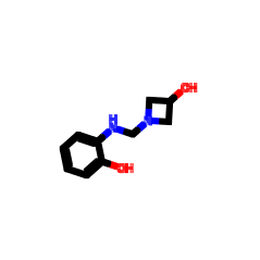 Oc1ccccc1NCN1CC(O)C1